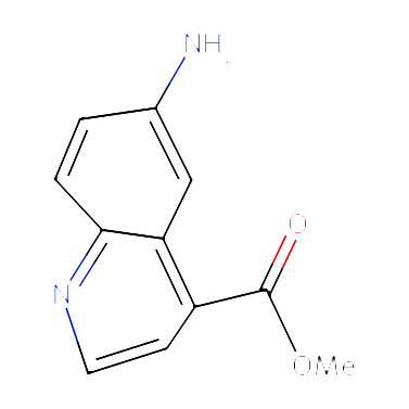 COC(=O)c1ccnc2ccc(N)cc12